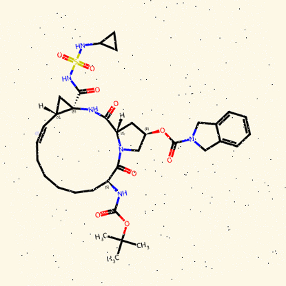 CC(C)(C)OC(=O)N[C@H]1CCCCC/C=C\[C@@H]2C[C@@]2(C(=O)NS(=O)(=O)NC2CC2)NC(=O)[C@@H]2C[C@@H](OC(=O)N3Cc4ccccc4C3)CN2C1=O